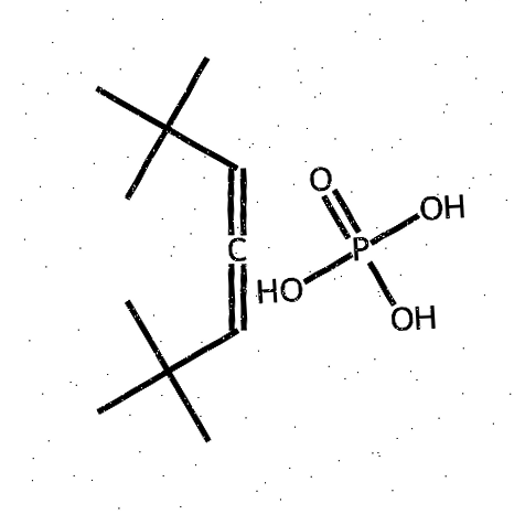 CC(C)(C)C=C=CC(C)(C)C.O=P(O)(O)O